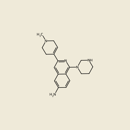 CN1CC=C(c2cc3cc(N)ccc3c(N3CCCNC3)n2)CC1